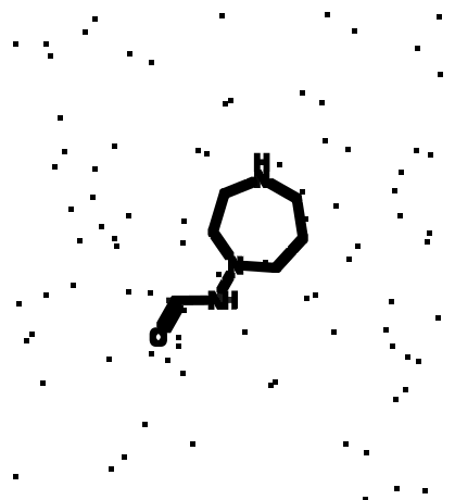 O=[C]NN1CCCNCC1